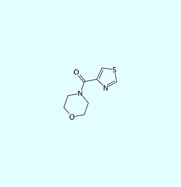 O=C(c1cscn1)N1CCOCC1